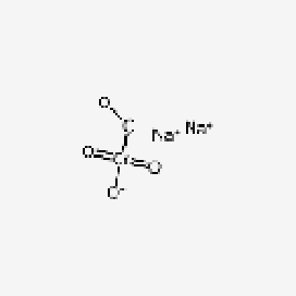 [Na+].[Na+].[O]=[Cr](=[O])([O-])[O][O-]